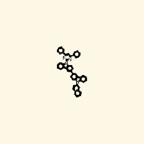 c1ccc(-c2cc(-c3ccccc3)nc(-n3c4ccccc4c4cc(-c5ccc6c(c5)c5ccccc5n6-c5ccc6ccccc6c5)ccc43)n2)cc1